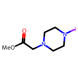 COC(=O)CN1CCN(I)CC1